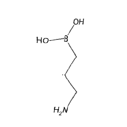 NC[CH]CB(O)O